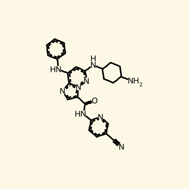 N#Cc1ccc(NC(=O)c2cnc3c(Nc4ccccc4)cc(NC4CCC(N)CC4)nn23)nc1